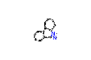 [N].c1ccc2c(c1)cnc1ccccc12